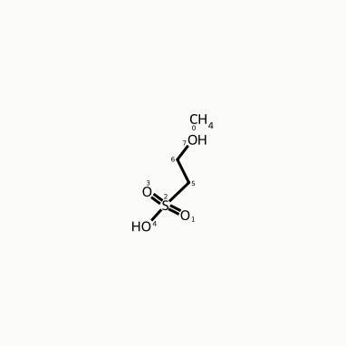 C.O=S(=O)(O)CCO